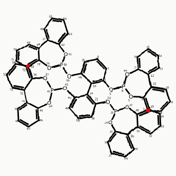 c1cc(Op2oc3ccccc3c3ccccc3o2)c(-c2c(Op3oc4ccccc4c4ccccc4o3)cccc2Op2oc3ccccc3c3ccccc3o2)c(Op2oc3ccccc3c3ccccc3o2)c1